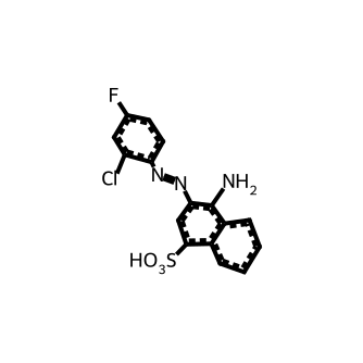 Nc1c(/N=N/c2ccc(F)cc2Cl)cc(S(=O)(=O)O)c2ccccc12